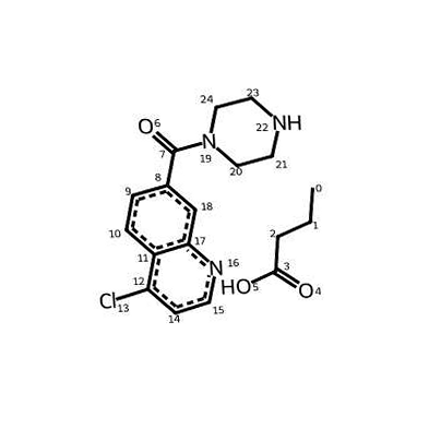 CCCC(=O)O.O=C(c1ccc2c(Cl)ccnc2c1)N1CCNCC1